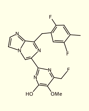 COc1c(O)nc(-c2cn3ccnc3c(Cc3cc(F)c(C)cc3F)n2)nc1CF